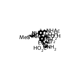 CC(=O)NC(Cc1ccc(O)cc1)C(=O)O.CCN(CC)CCCl.CSCCC(N)C(=O)O.NC(Cc1ccccc1)C(=O)O.NCC(=O)O